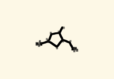 CC1CN(N)CC1CN